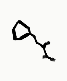 [CH2]CCNC(=O)COc1ccccc1